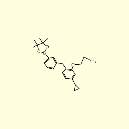 CC1(C)OB(c2cccc(Cc3ccc(C4CC4)cc3OCCN)c2)OC1(C)C